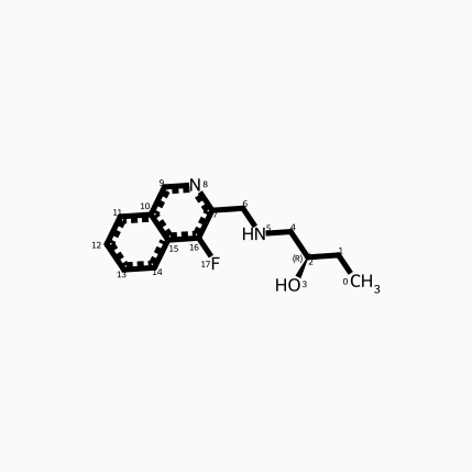 CC[C@@H](O)CNCc1ncc2ccccc2c1F